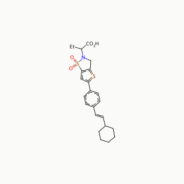 CCC(C(=O)O)N1Cc2sc(-c3ccc(/C=C/C4CCCCC4)cc3)cc2S1(=O)=O